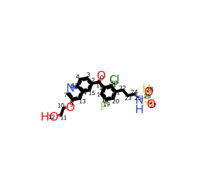 O=C(c1ccc2ncc(OCCO)cc2c1)c1cc(F)cc(CCCN[SH](=O)=O)c1Cl